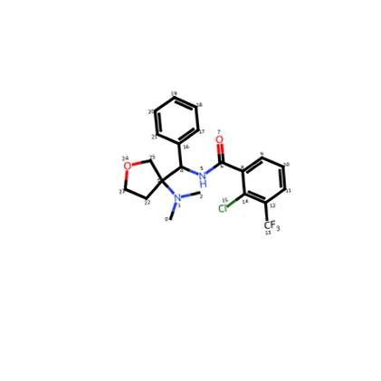 CN(C)C1(C(NC(=O)c2cccc(C(F)(F)F)c2Cl)c2ccccc2)CCOC1